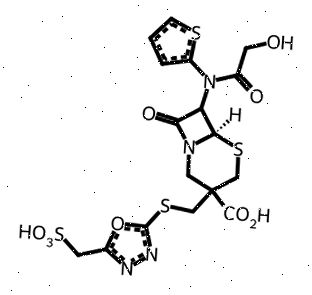 O=C(CO)N(c1cccs1)C1C(=O)N2CC(CSc3nnc(CS(=O)(=O)O)o3)(C(=O)O)CS[C@H]12